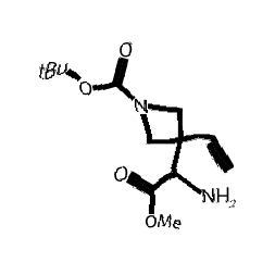 C=CC1(C(N)C(=O)OC)CN(C(=O)OC(C)(C)C)C1